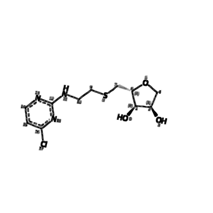 O[C@@H]1[C@H](O)CO[C@H]1CSCCNc1nccc(Cl)n1